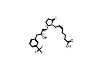 O=C(O)CCC/C=C\CN1C(=O)CC[C@@H]1/C=C/[C@@H](O)Cc1cccc(C(F)(F)F)c1